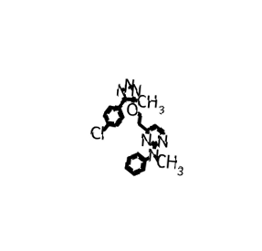 CN(c1ccccc1)c1nccc(CCOC2(C)N=NN=C2c2ccc(Cl)cc2)n1